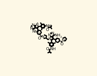 C=C(C)C(=O)Nc1cc(C)c(-c2c(C3=CC[C@H](C(=O)N4CCC(Cn5c(-c6c(C)cc(NC(=O)C(=C)C)cc6C)c(C6=CC[C@H](C(=O)N7CCCC7)CC6)c6c(N)ncnc65)C4)CC3)c3c(N)ncnc3n2C)c(C)c1